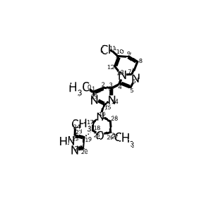 Cc1cc(-c2cnc3ccc(Cl)cn23)nc(N2C[C@@H](c3cn[nH]c3C)O[C@@H](C)C2)n1